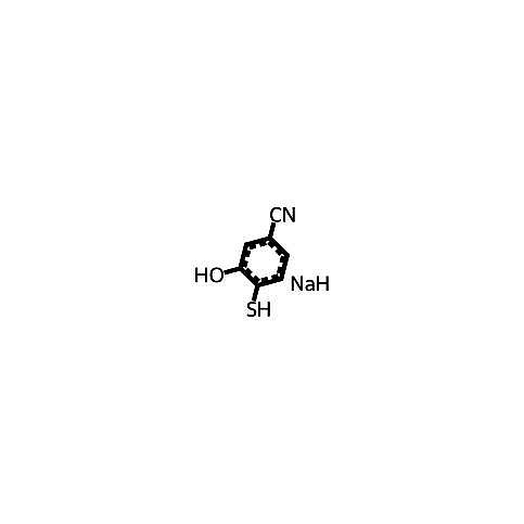 N#Cc1ccc(S)c(O)c1.[NaH]